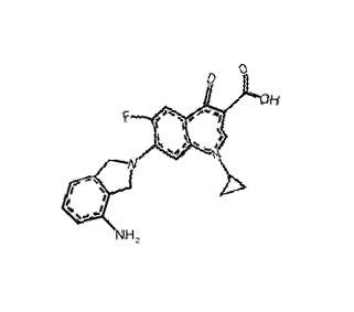 Nc1cccc2c1CN(c1cc3c(cc1F)c(=O)c(C(=O)O)cn3C1CC1)C2